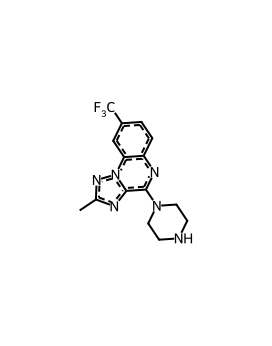 Cc1nc2c(N3CCNCC3)nc3ccc(C(F)(F)F)cc3n2n1